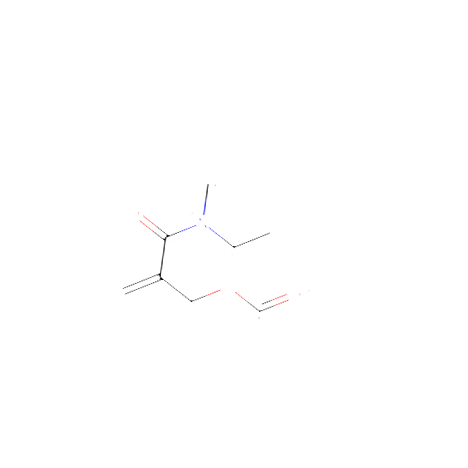 C=C(COC=O)C(=O)N(C)CC